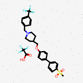 CS(=O)(=O)c1ccc(-c2ccc(OCC3CCN(Cc4ccc(C(F)(F)F)cc4)CC3)cc2)cc1.O=C(O)C(F)(F)F